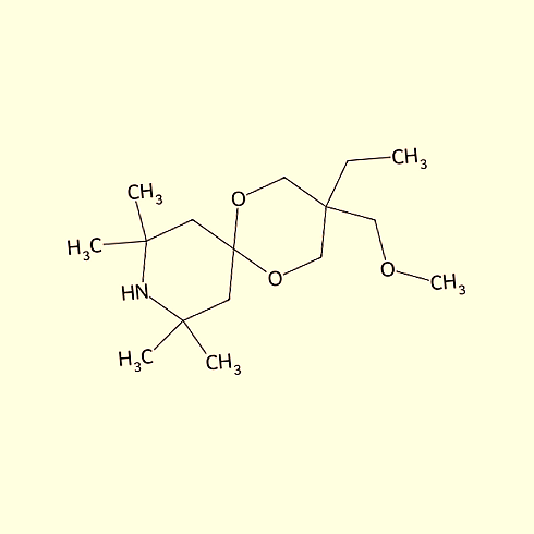 CCC1(COC)COC2(CC(C)(C)NC(C)(C)C2)OC1